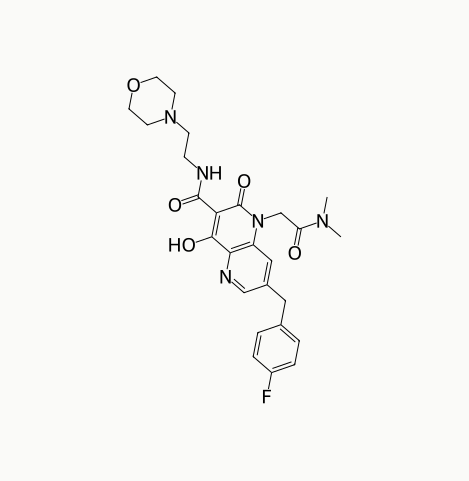 CN(C)C(=O)Cn1c(=O)c(C(=O)NCCN2CCOCC2)c(O)c2ncc(Cc3ccc(F)cc3)cc21